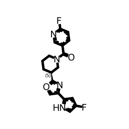 O=C(c1ccc(F)nc1)N1CCC[C@H](c2nc(-c3cc(F)c[nH]3)co2)C1